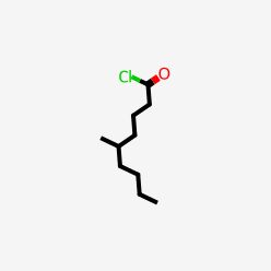 CCCCC(C)CCCC(=O)Cl